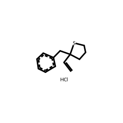 C=CC1(Cc2ccccc2)CCCS1.Cl